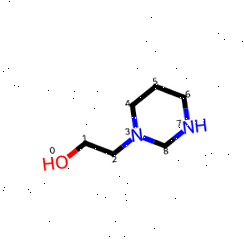 OCCN1CCCNC1